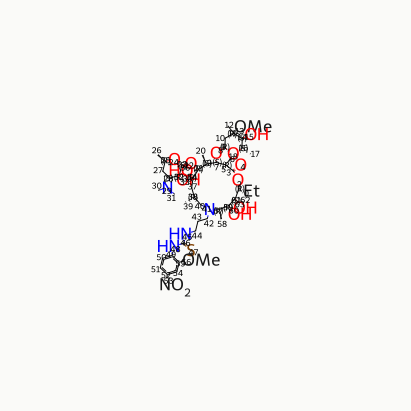 CC[C@H]1OC(=O)[C@H](C)[C@@H](O[C@H]2C[C@@](C)(OC)[C@@H](O)[C@H](C)O2)[C@H](C)[C@@H](O[C@@H]2O[C@H](C)C[C@H](N(C)C)[C@H]2O)[C@](C)(O)C[C@@H](C)CN(CCCNC(=S)Nc2ccc([N+](=O)[O-])cc2OC)[C@H](C)[C@@H](O)[C@]1(C)O